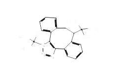 CC(C)(C)C1Cc2ccccc2-c2c(nnn2C(C)(C)C)-c2ccccc21